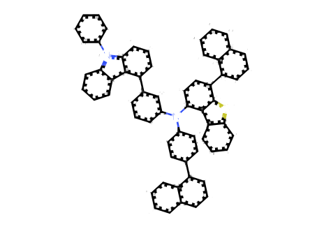 c1ccc(-n2c3ccccc3c3c(-c4cccc(N(c5ccc(-c6cccc7ccccc67)cc5)c5ccc(-c6cccc7ccccc67)c6sc7ccccc7c56)c4)cccc32)cc1